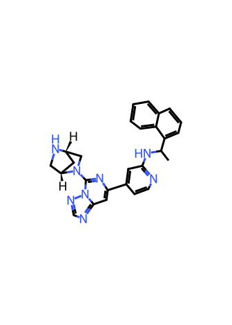 CC(Nc1cc(-c2cc3ncnn3c(N3C[C@@H]4C[C@H]3CN4)n2)ccn1)c1cccc2ccccc12